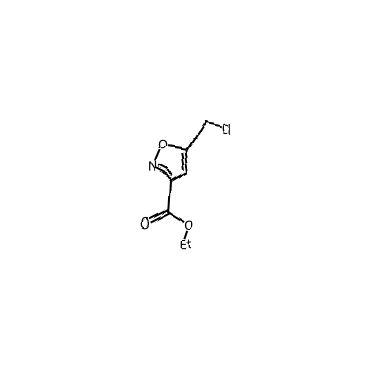 CCOC(=O)c1cc(CCl)on1